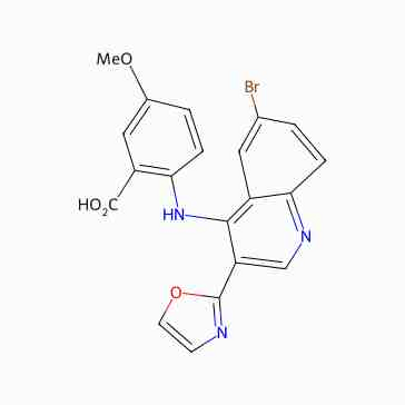 COc1ccc(Nc2c(-c3ncco3)cnc3ccc(Br)cc23)c(C(=O)O)c1